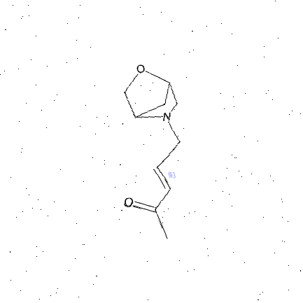 CC(=O)/C=C/CN1CC2CC1CO2